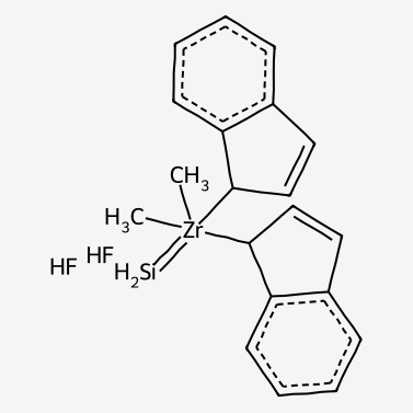 F.F.[CH3][Zr]([CH3])(=[SiH2])([CH]1C=Cc2ccccc21)[CH]1C=Cc2ccccc21